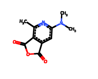 Cc1nc(N(C)C)cc2c1C(=O)OC2=O